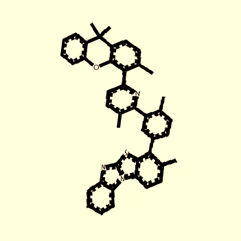 Cc1ccc(-c2c(C)ccc3c2sc2nc4ccccc4n23)cc1-c1nc(-c2c(C)ccc3c2Oc2ccccc2C3(C)C)ccc1C